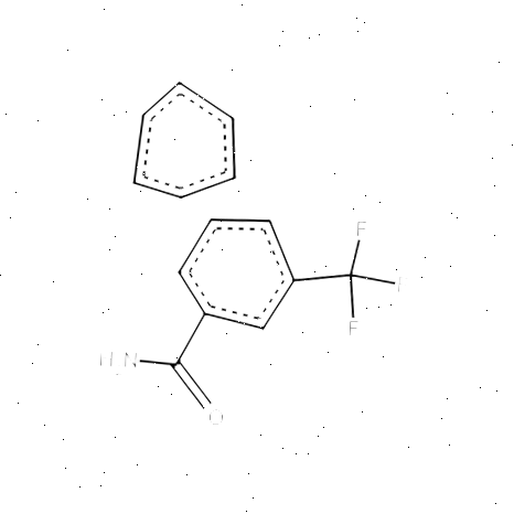 NC(=O)c1cccc(C(F)(F)F)c1.c1ccccc1